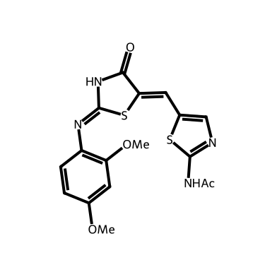 COc1ccc(N=C2NC(=O)C(=Cc3cnc(NC(C)=O)s3)S2)c(OC)c1